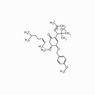 COc1ccc(CO[C@@H]2C=C(C(O[SiH](C)C)C(C)(C)C)C(=O)[C@@H](C(C)=CCCC(C)C)[C@@H]2OC)cc1